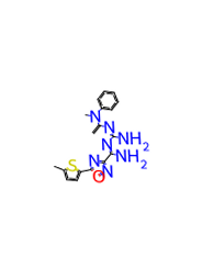 C=C(/N=C(N)\N=C(/N)c1noc(-c2ccc(C)s2)n1)N(C)c1ccccc1